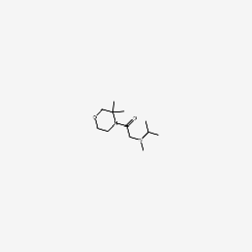 CC(C)N(C)CC(=O)N1CCOCC1(C)C